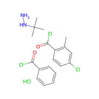 CC(C)(C)NN.Cc1cc(Cl)ccc1C(=O)Cl.Cl.O=C(Cl)c1ccccc1